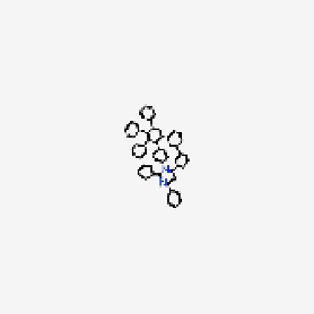 c1ccc(-c2cc(-c3cccc(-c4cccc(-c5cc(-c6ccccc6)c(-c6ccccc6)c(-c6ccccc6)c5-c5ccccc5)c4)c3)nc(-c3ccccc3)n2)cc1